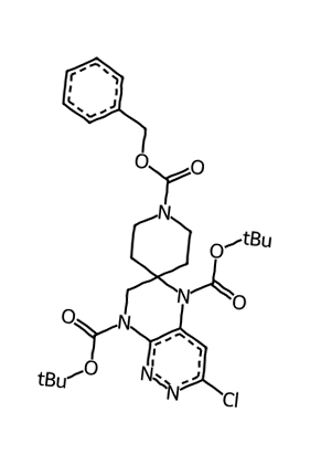 CC(C)(C)OC(=O)N1CC2(CCN(C(=O)OCc3ccccc3)CC2)N(C(=O)OC(C)(C)C)c2cc(Cl)nnc21